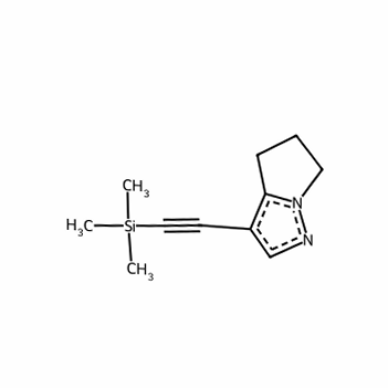 C[Si](C)(C)C#Cc1cnn2c1CCC2